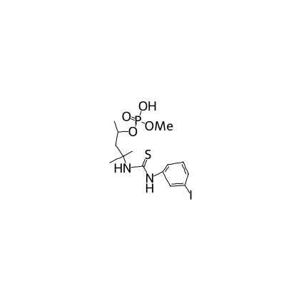 COP(=O)(O)OC(C)CC(C)(C)NC(=S)Nc1cccc(I)c1